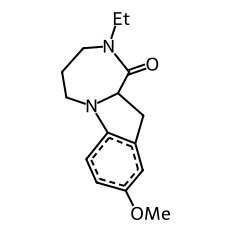 CCN1CCCN2c3ccc(OC)cc3CC2C1=O